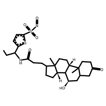 CCC(NC(=O)CCC1CC[C@H]2C3[C@H](O)CC4CC(=O)CCC4(C)[C@H]3CCC12C)c1ccc(S(=O)(=O)N=O)s1